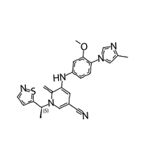 C=C1C(Nc2ccc(-n3cnc(C)c3)c(OC)c2)=CC(C#N)=CN1[C@@H](C)c1ccns1